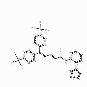 O=C(C=CC=C(c1ccc(C(F)(F)F)cc1)c1ccc(C(F)(F)F)cc1)Nc1ccccc1-c1cc[nH]n1